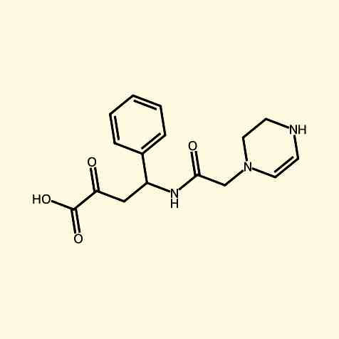 O=C(CN1C=CNCC1)NC(CC(=O)C(=O)O)c1ccccc1